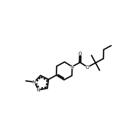 CCCC(C)(C)OC(=O)N1CC=C(c2cnn(C)c2)CC1